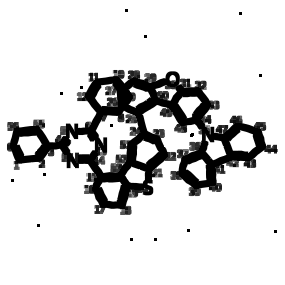 c1ccc(-c2nc(-c3ccccc3)nc(-c3cccc4sc5ccc(-c6cccc7oc8ccc(-n9c%10ccccc%10c%10ccccc%109)cc8c67)cc5c34)n2)cc1